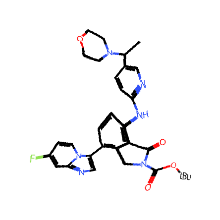 CC(c1ccc(Nc2ccc(-c3cnc4cc(F)ccn34)c3c2C(=O)N(C(=O)OC(C)(C)C)C3)nc1)N1CCOCC1